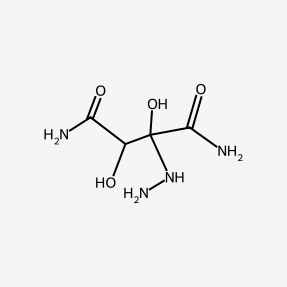 NNC(O)(C(N)=O)C(O)C(N)=O